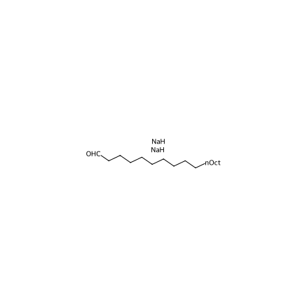 CCCCCCCCCCCCCCCCCC=O.[NaH].[NaH]